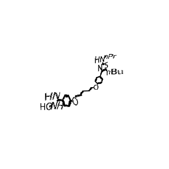 CCCCc1sc(NCCC)nc1-c1ccc(OCCCCCOc2ccc(C(=N)NO)cc2)cc1